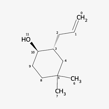 C=CC[C@@H]1CC(C)(C)CC[C@H]1O